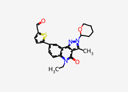 CCn1c(=O)c2c(C)n(C3CCCCO3)nc2c2cc(-c3ccc(C=O)s3)ccc21